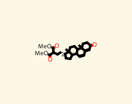 COC(=O)C(CC[C@H]1CCC2C3C=CC4=CC(=O)CCC4(C)C3CCC21C)C(=O)OC